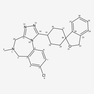 CN1Cc2cc(Cl)ccc2-n2c(nnc2C2CCC3(CC2)OCc2ccccc23)C1